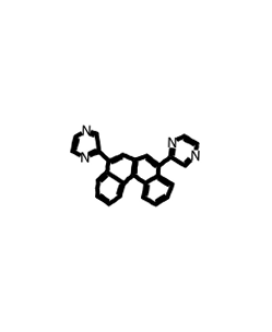 c1ccc2c(c1)c(-c1cnccn1)cc1cc(-c3cnccn3)c3ccccc3c12